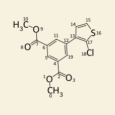 COC(=O)c1cc(C(=O)OC)cc(-c2ccsc2Cl)c1